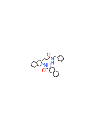 O=C(C=Cc1cc2ccccc2cc1NC(=O)c1[c]c2ccccc2cc1)NCc1ccccc1